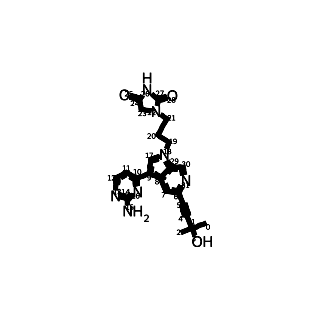 CC(C)(O)C#Cc1cc2c(-c3ccnc(N)n3)cn(CCCN3CC(=O)NC3=O)c2cn1